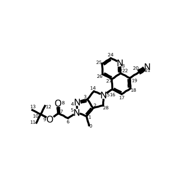 Cc1c2c(nn1CC(=O)OC(C)(C)C)CN(c1ccc(C#N)c3ncccc13)C2